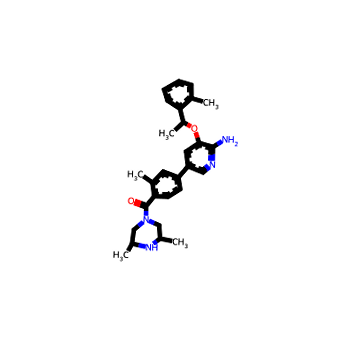 Cc1cc(-c2cnc(N)c(OC(C)c3ccccc3C)c2)ccc1C(=O)N1CC(C)NC(C)C1